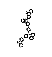 CC1(C)C2=C(C=CCC2)c2ccc(-n3c4ccccc4c4cc(-c5ccc(N(c6ccc(-c7ccc8oc9ccccc9c8c7)cc6)c6cccc7ccccc67)cc5)ccc43)cc21